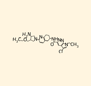 CCOCC1CN(c2ccc3c(n2)CCC(NC(=O)c2cc4c(Cl)cn(CC)c4nn2)C3)CC1N